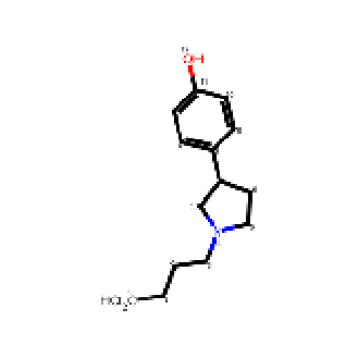 O=C(O)CCCN1CCC(c2ccc(O)cc2)C1